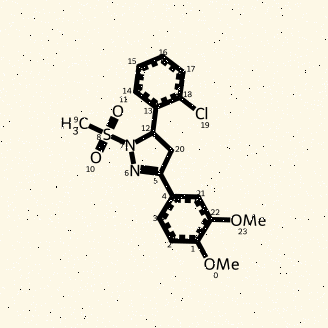 COc1ccc(C2=NN(S(C)(=O)=O)C(c3ccccc3Cl)C2)cc1OC